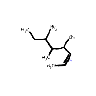 C/C=C\C(C)C(C)C(N)CC